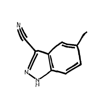 Cc1ccc2[nH]nc(C#N)c2c1